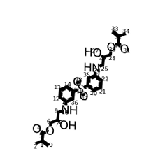 C=C(C)C(=O)OCC(O)CNc1cccc(S(=O)(=O)c2cccc(NCC(O)COC(=O)C(=C)C)c2)c1